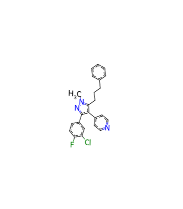 Cn1nc(-c2ccc(F)c(Cl)c2)c(-c2ccncc2)c1CCCc1ccccc1